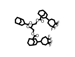 O=C(OCC1OC(C2CC3CCCC(C3)C2)OC1COC(=O)C12CCCC(CC(C3CCC(F)(F)C(F)(F)CC3)C1)C2)C12CCCC(CC(C3CCC(F)(F)C(F)(F)CC3)C1)C2